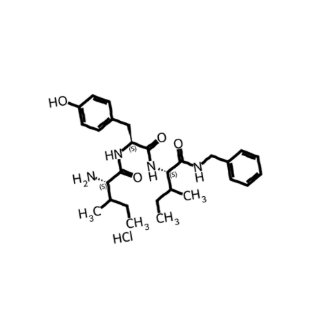 CCC(C)[C@H](N)C(=O)N[C@@H](Cc1ccc(O)cc1)C(=O)N[C@H](C(=O)NCc1ccccc1)C(C)CC.Cl